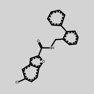 O=C(NCc1ccccc1-c1ccccc1)c1cc2cc(Cl)ccc2o1